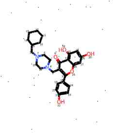 O=c1c(CN2CCN(CC3CCCCC3)CC2)c(-c2ccc(O)cc2)oc2cc(O)cc(O)c12